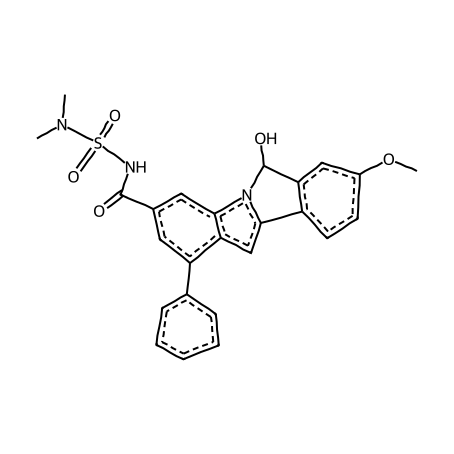 COc1ccc2c(c1)C(O)n1c-2cc2c(-c3ccccc3)cc(C(=O)NS(=O)(=O)N(C)C)cc21